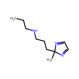 CCCNCCCC1(C)N=CC=N1